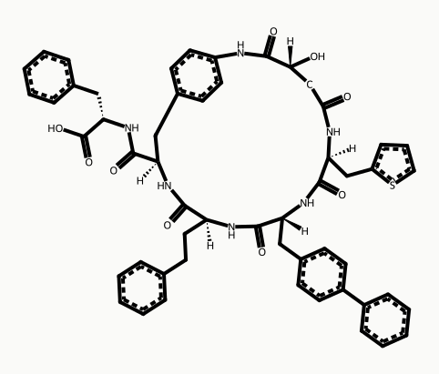 O=C1C[C@@H](O)C(=O)Nc2ccc(cc2)C[C@H](C(=O)N[C@@H](Cc2ccccc2)C(=O)O)NC(=O)[C@H](CCc2ccccc2)NC(=O)[C@@H](Cc2ccc(-c3ccccc3)cc2)NC(=O)[C@H](Cc2cccs2)N1